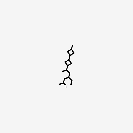 CCC(CC(C)F)CC(C)C1CC(C2CC(C)C2)C1